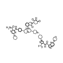 NC(=O)c1ncc(N2CCCCC2)nc1Nc1ccc(C2CCN(CC(CNc3cccc4c3C(=O)N(C3CCC(=O)NC3=O)C4)C3CCN(C[C@H]4CC[C@H](n5cc(NC(=O)c6cnn7ccc(N8CCOCC8)nc67)c(C(F)F)n5)CC4)CC3)CC2)cc1